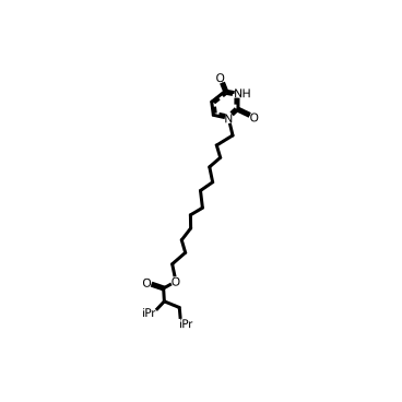 CC(C)CC(C(=O)OCCCCCCCCCCCCn1ccc(=O)[nH]c1=O)C(C)C